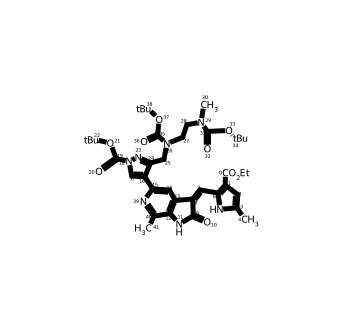 CCOC(=O)c1cc(C)[nH]c1/C=C1\C(=O)Nc2c1cc(-c1cn(C(=O)OC(C)(C)C)nc1CN(CCN(C)C(=O)OC(C)(C)C)C(=O)OC(C)(C)C)nc2C